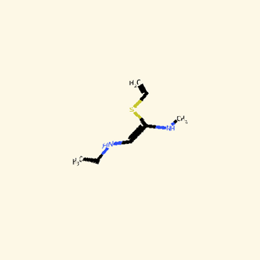 C=CS/C(=C\NCC)NC